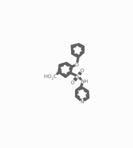 O=C(O)c1ccc(Oc2ccccc2)c(S(=O)(=O)Nc2ccncc2)c1